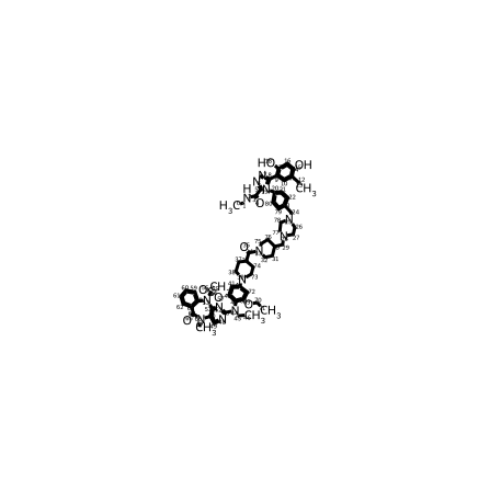 CCNC(=O)c1nnc(-c2cc(CC)c(O)cc2O)n1-c1ccc(CN2CCN(CC3CCN(C(=O)C4CCN(c5ccc(N(CC)c6ncc7c(n6)N(S(C)(=O)=O)c6ccccc6C(=O)N7C)c(OCC)c5)CC4)CC3)CC2)cc1